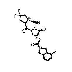 Cc1cccc2c1CN(C(=O)C[C@@H]1CC(C(=O)C3CC(F)(F)C[C@H]3C#N)NC1=O)C2